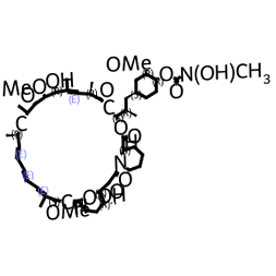 COC1C(=O)C(C)C[C@H](C)/C=C/C=C/C=C(\C)[C@@H](OC)C[C@@H]2CC[C@@H](C)[C@@](O)(O2)C(=O)C(=O)N2CCCC[C@H]2C(=O)O[C@H]([C@H](C)C[C@@H]2CC[C@@H](OC(=O)N(C)O)[C@H](OC)C2)CC(=O)[C@H](C)/C=C(\C)[C@H]1O